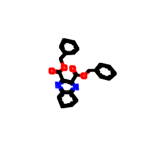 O=C(OCc1ccccc1)c1nc2ccccc2nc1C(=O)OCc1ccccc1